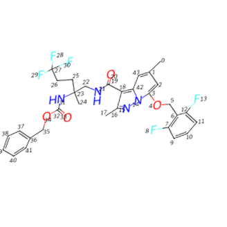 Cc1cc(OCc2c(F)cccc2F)n2nc(C)c(C(=O)NCC(C)(CCC(F)(F)F)NC(=O)OCc3ccccc3)c2c1